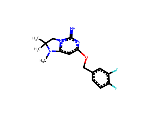 CN1c2cc(OCc3ccc(F)c(F)c3)nc(=N)n2CC1(C)C